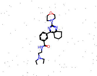 CCN(CC)CCNC(=O)c1cccc(-c2nc(N3CCOCC3)nc3c2CCCC3)c1